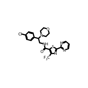 O=C(NCC(c1ccc(Cl)cc1)N1CCOCC1)c1sc(-c2ncccn2)nc1C(F)(F)F